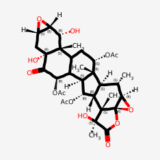 CC(=O)O[C@H]1[C@@H]2[C@H]([C@H](C)[C@H]3O[C@]34OC(=O)[C@@](C)(O)[C@]24C)[C@@]2(C)[C@@H](OC(C)=O)CC3C([C@H]12)[C@@H](OC(C)=O)C(=O)[C@@]1(O)C[C@@H]2O[C@@H]2[C@H](O)[C@]31C